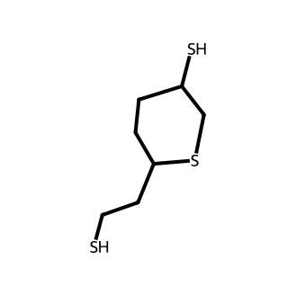 SCCC1CCC(S)CS1